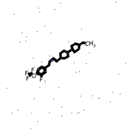 CCC1CCC(C2CCC(C/C=C\Cc3ccc(OC(F)(F)F)c(F)c3)CC2)CC1